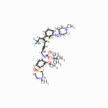 COc1cc(P2(=O)CCN(C)CC2)ccc1N(CC#Cc1sc2c(NC3CCN(C)CC3F)cccc2c1CC(F)(F)F)C(=O)OC(C)(C)C